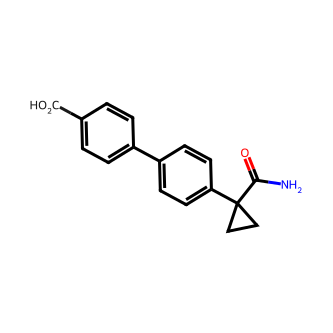 NC(=O)C1(c2ccc(-c3ccc(C(=O)O)cc3)cc2)CC1